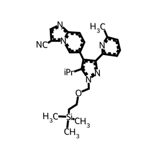 Cc1cccc(-c2nn(COCC[Si](C)(C)C)c(C(C)C)c2-c2ccc3ncc(C#N)n3c2)n1